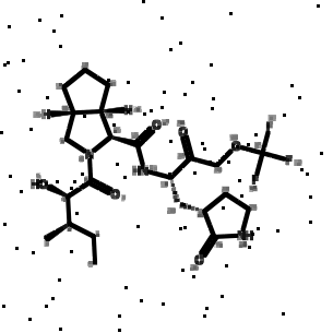 CC[C@@H](C)[C@@H](O)C(=O)N1C[C@@H]2CCC[C@@H]2[C@H]1C(=O)N[C@@H](C[C@@H]1CCNC1=O)C(=O)COC(F)(F)F